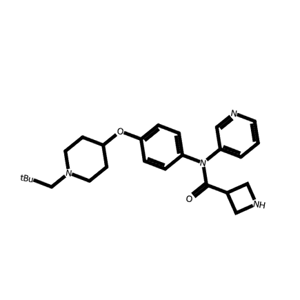 CC(C)(C)CN1CCC(Oc2ccc(N(C(=O)C3CNC3)c3cccnc3)cc2)CC1